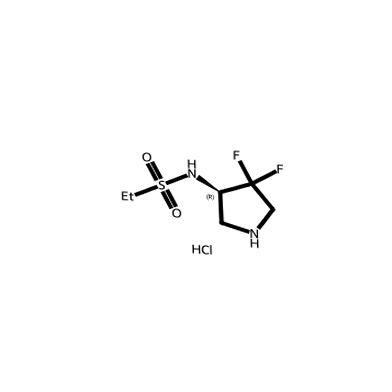 CCS(=O)(=O)N[C@@H]1CNCC1(F)F.Cl